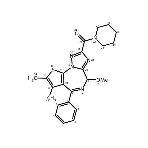 COC1N=C(c2ccccc2)c2c(sc(C)c2C)-n2nc(C(=O)N3CCCCC3)nc21